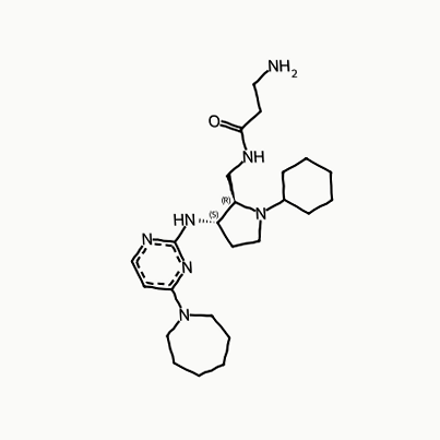 NCCC(=O)NC[C@@H]1[C@@H](Nc2nccc(N3CCCCCC3)n2)CCN1C1CCCCC1